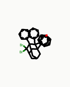 BrC1(Br)C2CC3CC(c4ccccc4)(C2)C(c2ccccc2)(c2ccccc2)C1(c1ccccc1)C3